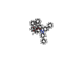 CC1(C)c2ccccc2-c2ccc(N(c3ccc(-c4ccccc4)cc3)c3ccc(-c4ccccc4)cc3-c3ccc4c(c3)-c3ccccc3C43c4ccccc4-c4ccccc43)cc21